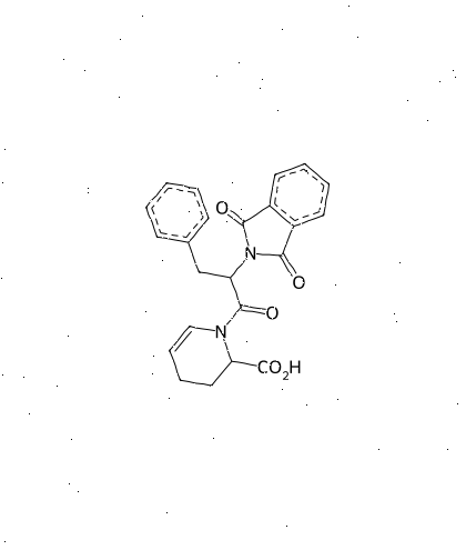 O=C(O)C1CCC=CN1C(=O)C(Cc1ccccc1)N1C(=O)c2ccccc2C1=O